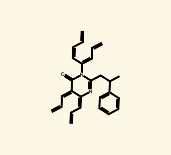 C=C/C=C\C(=C/C=C)n1c(CC(C)c2ccccc2)nc(=C/C=C)/c(=C\C=C)c1=O